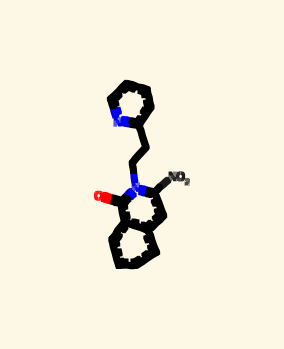 O=c1c2ccccc2cc([N+](=O)[O-])n1CCc1ccccn1